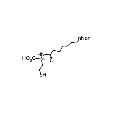 CCCCCCCCCCCCCCCC(=O)N[C@@H](CCS)C(=O)O